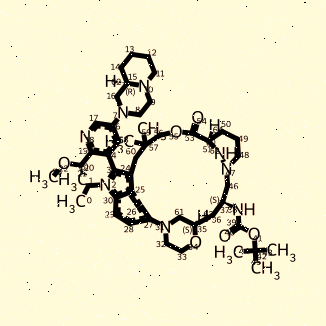 CCn1c(-c2cc(N3CCN4CCCC[C@@H]4C3)cnc2[C@H](C)OC)c2c3cc(ccc31)N1CCO[C@@H](C[C@H](NC(=O)OC(C)(C)C)CN3CCC[C@H](N3)C(=O)OCC(C)(C)C2)C1